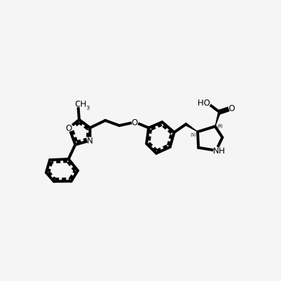 Cc1oc(-c2ccccc2)nc1CCOc1cccc(C[C@@H]2CNC[C@@H]2C(=O)O)c1